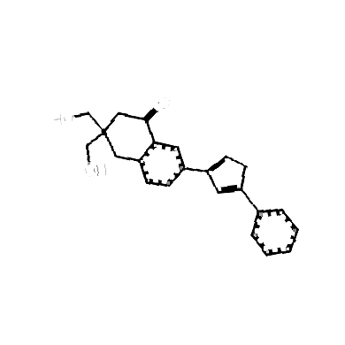 O=C1CC(CO)(CO)Cc2ccc(C3=CCC(c4ccccc4)=C3)cc21